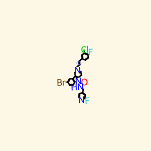 O=C(NCc1ccnc(F)c1)n1c2c(c3cc(Br)ccc31)CN(C/C=C/c1ccc(F)c(Cl)c1)CC2